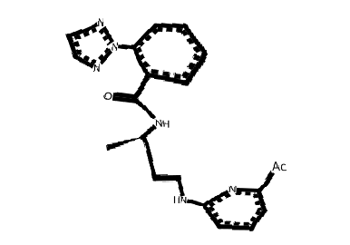 CC(=O)c1cccc(NCC[C@@H](C)NC(=O)c2ccccc2-n2nccn2)n1